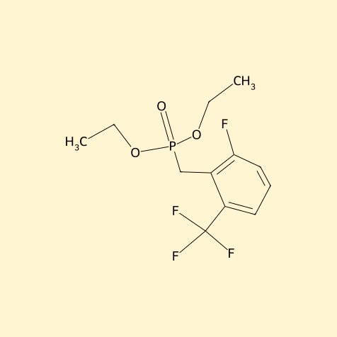 CCOP(=O)(Cc1c(F)cccc1C(F)(F)F)OCC